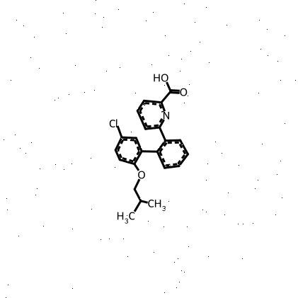 CC(C)COc1ccc(Cl)cc1-c1ccccc1-c1cccc(C(=O)O)n1